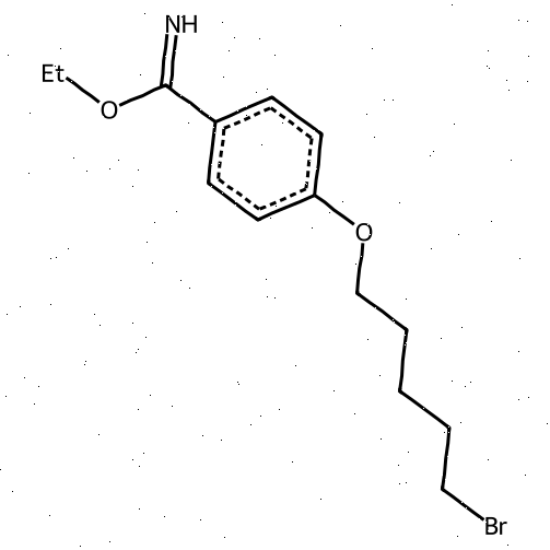 CCOC(=N)c1ccc(OCCCCCBr)cc1